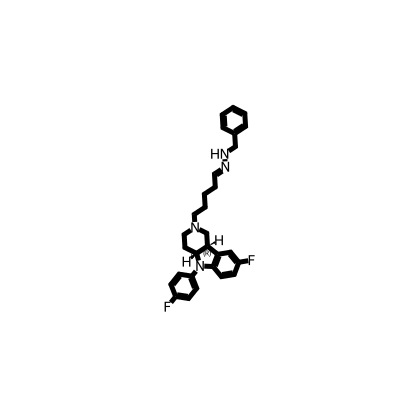 Fc1ccc(N2c3ccc(F)cc3[C@@H]3CN(CCCCC=NNCc4ccccc4)CC[C@H]32)cc1